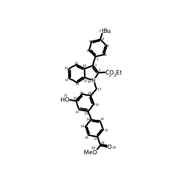 CCOC(=O)c1c(-c2ccc(C(C)(C)C)cc2)c2ccccc2n1Cc1cc(O)cc(-c2ccc(C(=O)OC)cc2)c1